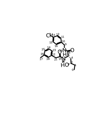 CC[C@H](O)C[C@@H](C(=O)NCc1ccc(Cl)cc1)N(C)C(=O)Cc1cccc(C)c1